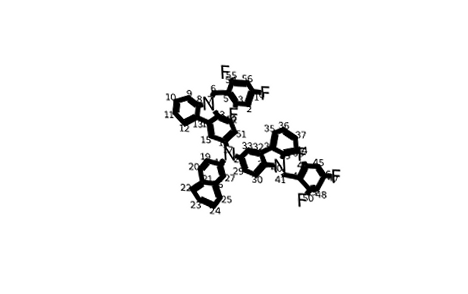 Fc1cc(F)c(Cn2c3ccccc3c3cc(N(c4ccc5ccccc5c4)c4ccc5c(c4)c4ccccc4n5Cc4c(F)cc(F)cc4F)ccc32)c(F)c1